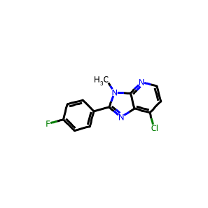 Cn1c(-c2ccc(F)cc2)nc2c(Cl)ccnc21